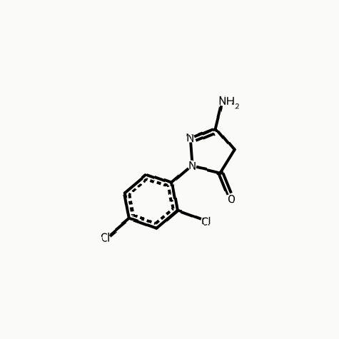 NC1=NN(c2ccc(Cl)cc2Cl)C(=O)C1